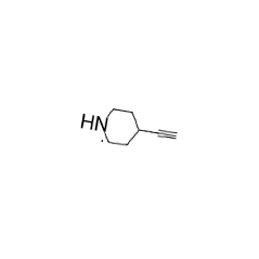 C#CC1C[CH]NCC1